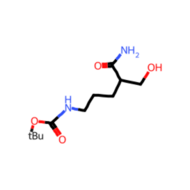 CC(C)(C)OC(=O)NCCCC(CO)C(N)=O